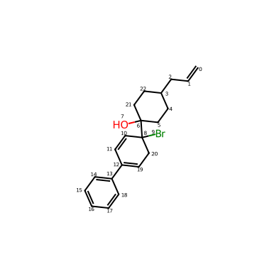 C=CCC1CCC(O)(C2(Br)C=CC(c3ccccc3)=CC2)CC1